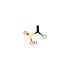 C=C(Cl)S(=O)O